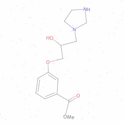 COC(=O)c1cccc(OCC(O)CN2CCNC2)c1